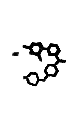 Cl.O=C(c1cccc(-n2ccc(=O)[nH]c2=O)c1)N1CCC(OC2CCNCC2)CC1